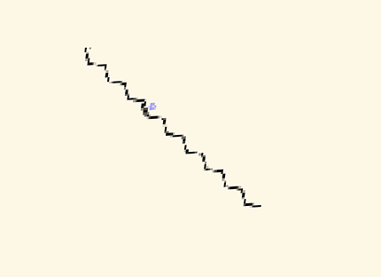 [CH2]CCCCC/C=C/CCCCCCCCCCC